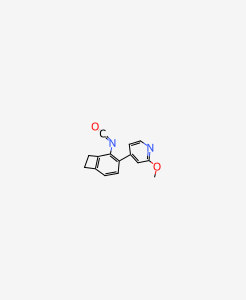 COc1cc(-c2ccc3c(c2N=C=O)CC3)ccn1